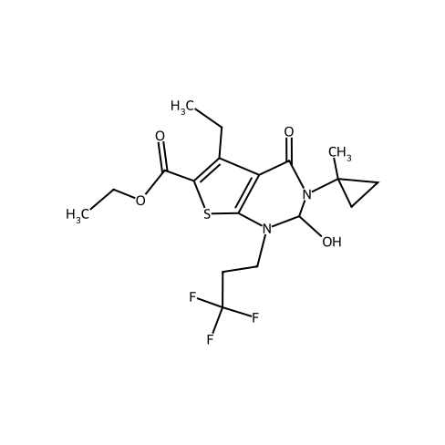 CCOC(=O)c1sc2c(c1CC)C(=O)N(C1(C)CC1)C(O)N2CCC(F)(F)F